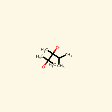 CC(C)C(C)([O])C(C)(C)[O]